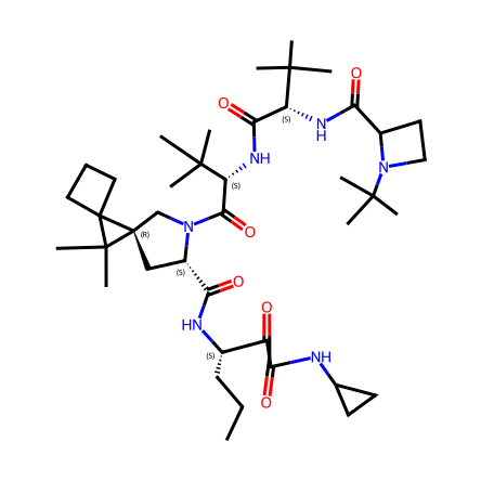 CCC[C@H](NC(=O)[C@@H]1C[C@@]2(CN1C(=O)[C@@H](NC(=O)[C@@H](NC(=O)C1CCN1C(C)(C)C)C(C)(C)C)C(C)(C)C)C(C)(C)C21CCC1)C(=O)C(=O)NC1CC1